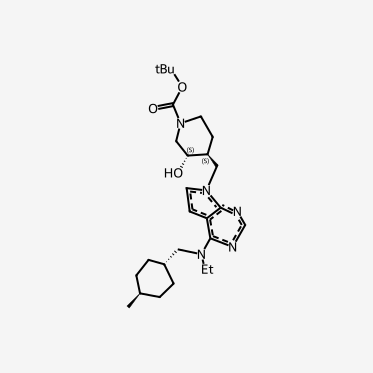 CCN(C[C@H]1CC[C@H](C)CC1)c1ncnc2c1ccn2C[C@@H]1CCN(C(=O)OC(C)(C)C)C[C@H]1O